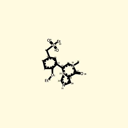 CCOc1ccc(CS(=O)(=O)CC)cc1-c1cn(C)c(=O)c2cncn12